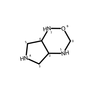 C1NC2CNCC2NO1